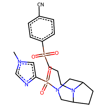 Cn1cnc(S(=O)(=O)N2CC3CCC(C2)N3CCCS(=O)(=O)c2ccc(C#N)cc2)c1